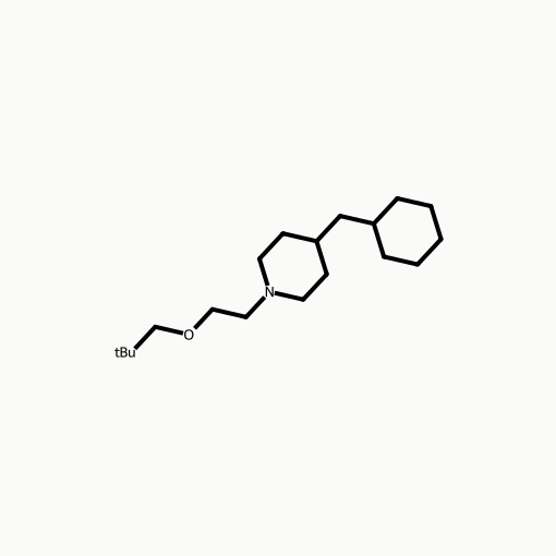 CC(C)(C)COCCN1CCC(CC2CCCCC2)CC1